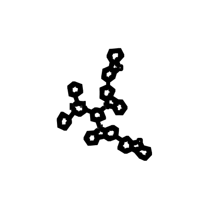 c1ccc(-c2cc(-c3cc(-n4c5ccccc5c5cc(-c6ccc7c(c6)oc6ccccc67)ccc54)cc(-n4c5ccccc5c5cc(-c6ccc7c(c6)oc6ccccc67)ccc54)c3)nc(-c3ccccc3)n2)cc1